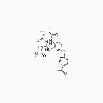 CCC(=O)Nc1ccc(Oc2ccc(C(C)=O)cc2)cc1NC(=NC(=O)OC)NC(=O)OC